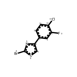 Fc1cc(-c2csc(Br)n2)ccc1Cl